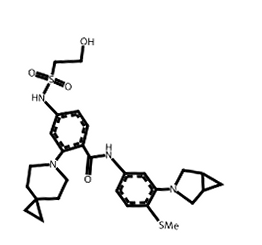 CSc1ccc(NC(=O)c2ccc(NS(=O)(=O)CCO)cc2N2CCC3(CC2)CC3)cc1N1CC2CC2C1